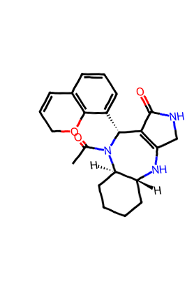 CC(=O)N1[C@@H]2CCCC[C@H]2NC2=C(C(=O)NC2)[C@H]1c1cccc2c1OCC=C2